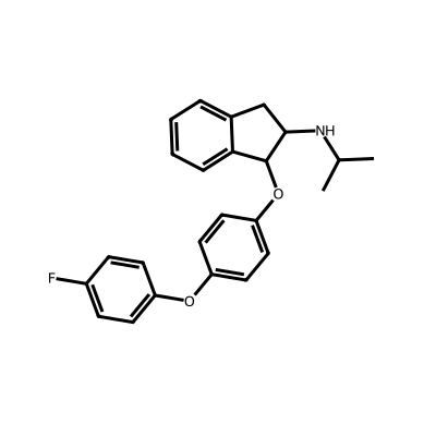 CC(C)NC1Cc2ccccc2C1Oc1ccc(Oc2ccc(F)cc2)cc1